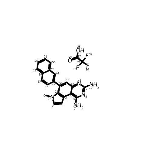 Cn1ccc2c3c(N)nc(N)nc3cc(-c3ccc4ccccc4c3)c21.O=C(O)C(F)(F)F